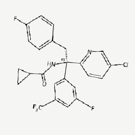 O=C(N[C@](Cc1ccc(F)cc1)(c1cc(F)cc(C(F)(F)F)c1)c1ccc(Cl)cn1)C1CC1